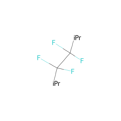 CC(C)C(F)(F)C(F)(F)C(C)C